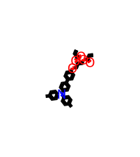 C=CC(=O)OCC(COc1ccc(-c2ccc(N(c3ccc(C)cc3)c3ccc(C)cc3)cc2)cc1)OC(=O)C=C